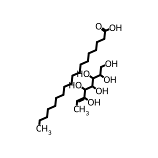 CC=C(O)C(O)C(O)C(O)C(O)CO.CCCCCCCCCCCCCCCCCC(=O)O